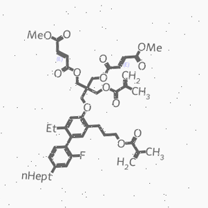 C=C(C)C(=O)OCCCc1cc(-c2ccc(CCCCCCC)cc2F)c(CC)cc1OCC(COC(=O)/C=C/C(=O)OC)(COC(=O)/C=C/C(=O)OC)COC(=O)C(=C)C